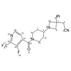 CC(C)C1(CC#N)CN(C2CCN(C(=O)c3ccnc(C(F)(F)F)c3F)CC2)C1